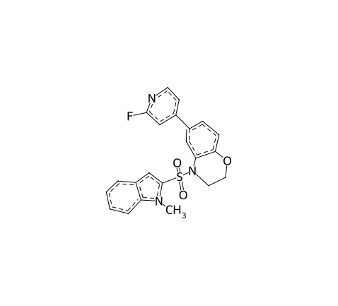 Cn1c(S(=O)(=O)N2CCOc3ccc(-c4ccnc(F)c4)cc32)cc2ccccc21